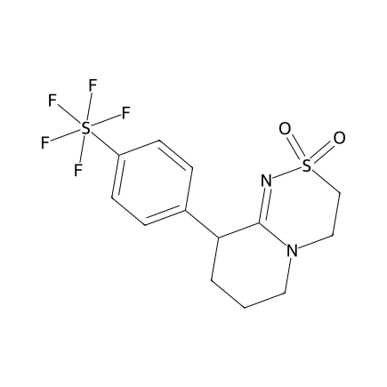 O=S1(=O)CCN2CCCC(c3ccc(S(F)(F)(F)(F)F)cc3)C2=N1